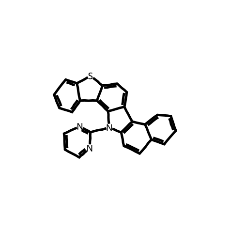 c1cnc(-n2c3ccc4ccccc4c3c3ccc4sc5ccccc5c4c32)nc1